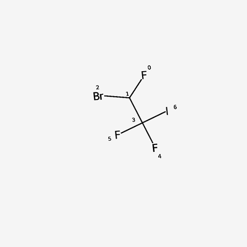 FC(Br)C(F)(F)I